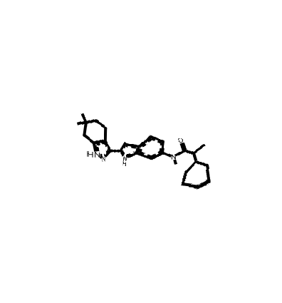 CC(C(=O)N(C)c1ccc2cc(-c3n[nH]c4c3CCC(C)(C)C4)[nH]c2c1)C1CCCCC1